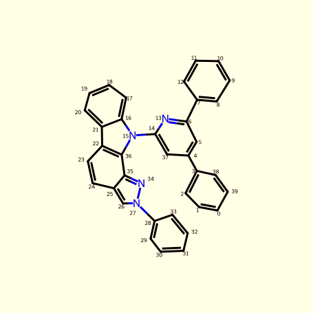 c1ccc(-c2cc(-c3ccccc3)nc(-n3c4ccccc4c4ccc5cn(-c6ccccc6)nc5c43)c2)cc1